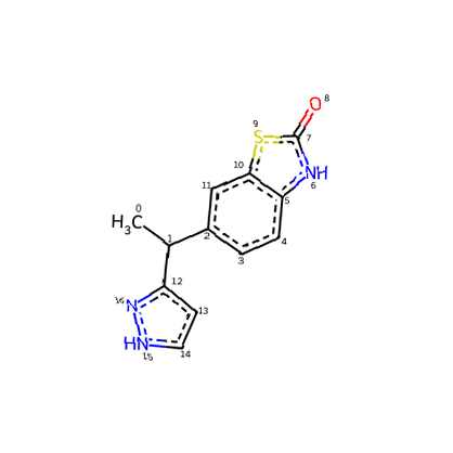 CC(c1ccc2[nH]c(=O)sc2c1)c1cc[nH]n1